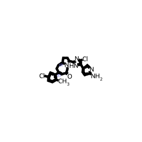 Cc1ccc(Cl)cc1/C1=C/C(=O)CN2/C(=C\C1)CCC2c1nc(Cl)c(-c2ccc(N)nc2)[nH]1